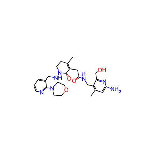 CC1=C(CC(=O)NCc2c(C)cc(N)nc2CO)C(=O)N(NCc2cccnc2N2CCOCC2)CC1